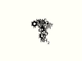 CC(C)OC(=O)[C@H](C)NP(=O)(Oc1ccccc1)OC1[C@@]2(C)O[C@@H](n3ccc(N)nc3=O)[C@H](F)[C@@]12O